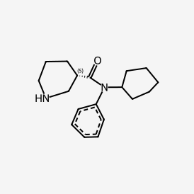 O=C([C@H]1CCCNC1)N(c1ccccc1)C1CCCCC1